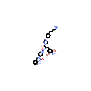 CN(C)CCCCc1ccc(N2CCN(C(=O)[C@@H](Cc3cc(Br)c(N)c(Br)c3)NC(=O)N3CCC(N4Cc5ccccc5NC4=O)CC3)CC2)cc1